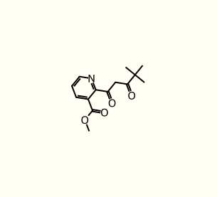 COC(=O)c1cccnc1C(=O)CC(=O)C(C)(C)C